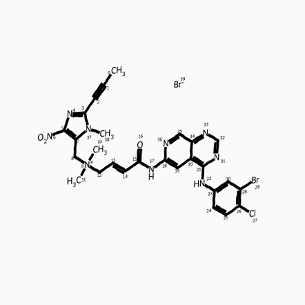 CC#Cc1nc([N+](=O)[O-])c(C[N+](C)(C)C/C=C/C(=O)Nc2cc3c(Nc4ccc(Cl)c(Br)c4)ncnc3cn2)n1C.[Br-]